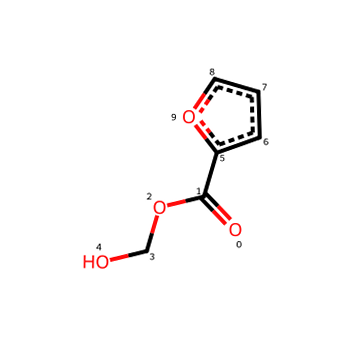 O=C(OCO)c1ccco1